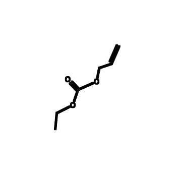 C=CCOC(=O)OCC